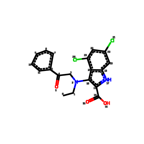 CCN(CC(=O)c1ccccc1)c1c(C(=O)O)[nH]c2cc(Cl)cc(Cl)c12